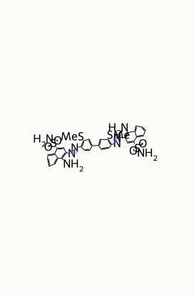 CSc1cc(-c2ccc(/N=N/c3cc(S(N)(=O)=O)c4ccccc4c3N)c(SC)c2)ccc1/N=N/c1cc(S(N)(=O)=O)c2ccccc2c1N